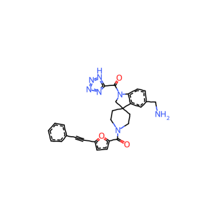 NCc1ccc2c(c1)C1(CCN(C(=O)c3ccc(C#Cc4ccccc4)o3)CC1)CN2C(=O)c1nnn[nH]1